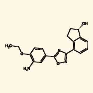 CCOc1ccc(-c2nc(-c3cccc4c3CC[C@@H]4O)no2)cc1N